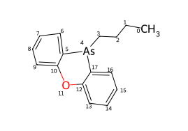 CCCC[As]1c2ccccc2Oc2ccccc21